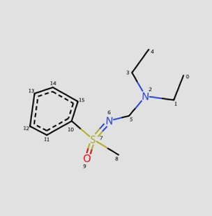 CCN(CC)CN=S(C)(=O)c1ccccc1